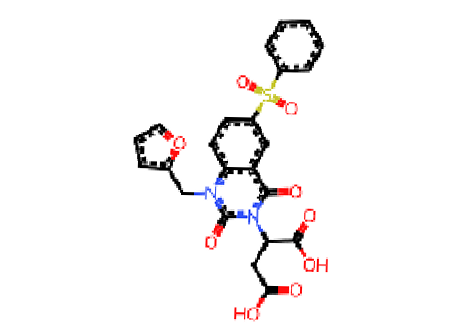 O=C(O)CC(C(=O)O)n1c(=O)c2cc(S(=O)(=O)c3ccccc3)ccc2n(Cc2ccco2)c1=O